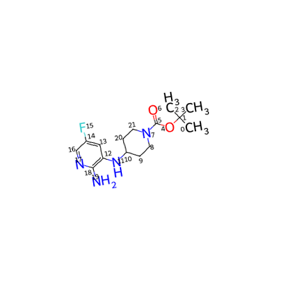 CC(C)(C)OC(=O)N1CCC(Nc2cc(F)cnc2N)CC1